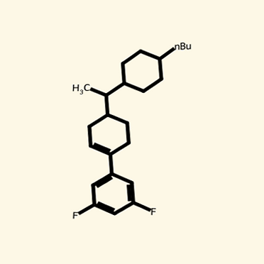 CCCCC1CCC(C(C)C2CC=C(c3cc(F)cc(F)c3)CC2)CC1